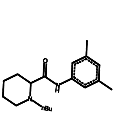 CCCCN1CCCCC1C(=O)Nc1cc(C)cc(C)c1